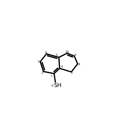 Sc1cccc2c1CCC=C2